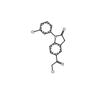 O=C(CCl)c1ccc2c(c1)CC(=O)N2c1cccc(Cl)c1